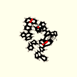 CC1(C)c2ccccc2-c2cc(-c3cccc4c3oc3ccc(N(c5cc(-c6cc7ccccc7c7ccccc67)ccc5-c5ccccc5)c5ccccc5-n5c6ccccc6c6ccccc65)cc34)cc(-c3ccc(N(c4ccc5oc6ccccc6c5c4)c4cc(-c5cc6ccccc6c6ccccc56)ccc4-c4ccccc4)cc3)c21